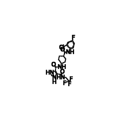 O=C(NCC(F)(F)F)C1=C(C(=O)N[C@H]2CC[C@H](C(=O)Nc3ccc(F)cc3Cl)CC2)NCN1